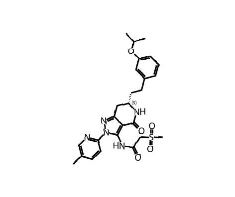 Cc1ccc(-n2nc3c(c2NC(=O)CS(C)(=O)=O)C(=O)N[C@@H](CCc2cccc(OC(C)C)c2)C3)nc1